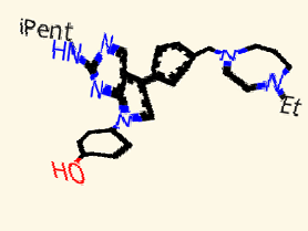 CCC[C@H](C)Nc1ncc2c(-c3ccc(CN4CCCN(CC)CC4)cc3)cn(C3CCC(O)CC3)c2n1